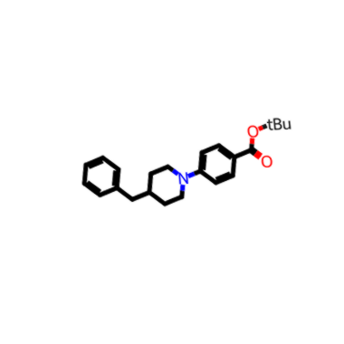 CC(C)(C)OC(=O)c1ccc(N2CCC(Cc3ccccc3)CC2)cc1